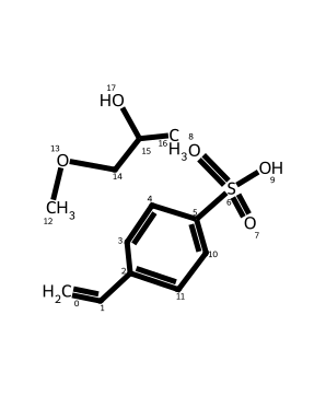 C=Cc1ccc(S(=O)(=O)O)cc1.COCC(C)O